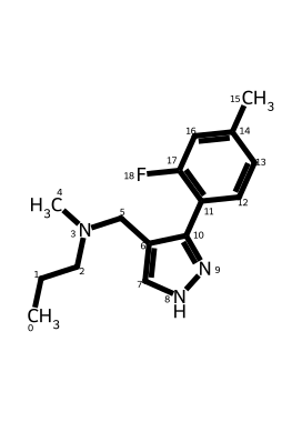 CCCN(C)Cc1c[nH]nc1-c1ccc(C)cc1F